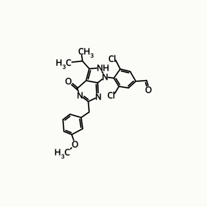 COc1cccc(Cc2nc3n(-c4c(Cl)cc(C=O)cc4Cl)[nH]c(C(C)C)c-3c(=O)n2)c1